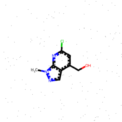 Cn1ncc2c(CO)cc(Cl)nc21